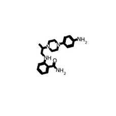 CC(CNc1ccccc1C(N)=O)N1CCN(c2ccc(N)cc2)CC1